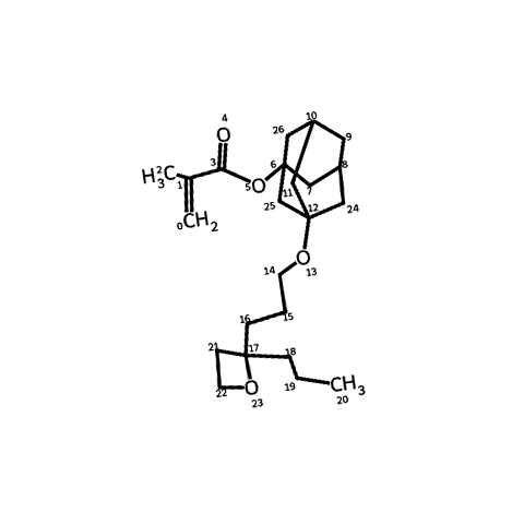 C=C(C)C(=O)OC12CC3CC(CC(OCCCC4(CCC)CCO4)(C3)C1)C2